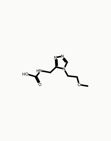 COCCn1cnnc1CNC(=O)O